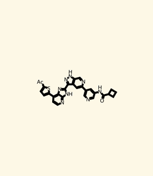 CC(=O)c1ccc(-c2ccnc3[nH]c(-c4n[nH]c5cnc(-c6cncc(NC(=O)C7CCC7)c6)cc45)nc23)s1